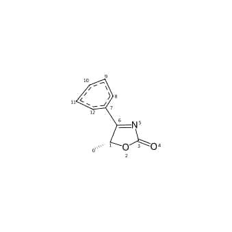 C[C@H]1OC(=O)N=C1c1ccccc1